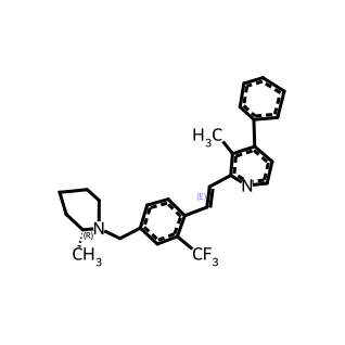 Cc1c(-c2ccccc2)ccnc1/C=C/c1ccc(CN2CCCC[C@H]2C)cc1C(F)(F)F